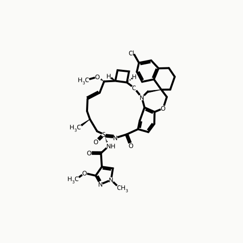 COc1nn(C)cc1C(=O)N[S@@]1(=O)=NC(=O)c2ccc3c(c2)N(C[C@@H]2CC[C@H]2[C@@H](OC)/C=C/C[C@H](C)C1)C[C@@]1(CCCc2cc(Cl)ccc21)CO3